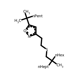 CCCCCCCC(C)(CCCCCC)CSCCc1cc(C(C)(C)CCCCC)on1